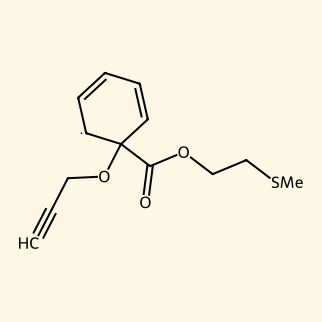 C#CCOC1(C(=O)OCCSC)[CH]C=CC=C1